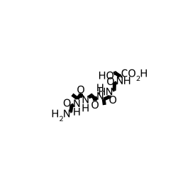 CC(NC(=O)CN)C(=O)NCC(=O)NC(C)C(=O)NCC(=O)NC(CO)C(=O)O